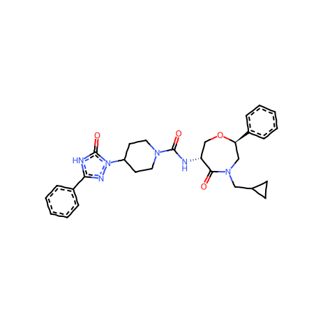 O=C(N[C@@H]1CO[C@@H](c2ccccc2)CN(CC2CC2)C1=O)N1CCC(n2nc(-c3ccccc3)[nH]c2=O)CC1